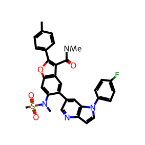 CNC(=O)c1c(-c2ccc(C)cc2)oc2cc(N(C)S(C)(=O)=O)c(-c3cnc4ccn(-c5ccc(F)cc5)c4c3)cc12